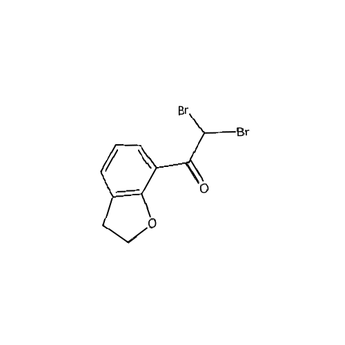 O=C(c1cccc2c1OCC2)C(Br)Br